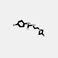 O=C(NCCN1CC(F)C1)Nc1ccc(Br)cc1